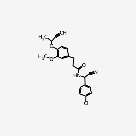 C#CC(C)Oc1ccc(CCC(=O)NC(C#N)c2ccc(Cl)cc2)cc1OC